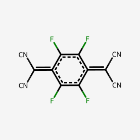 [C-]#[N+]C([N+]#[C-])=c1c(F)c(F)c(=C(C#N)C#N)c(F)c1F